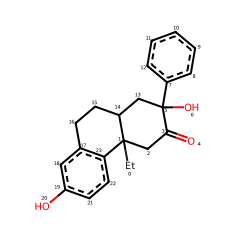 CCC12CC(=O)C(O)(c3ccccc3)CC1CCc1cc(O)ccc12